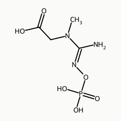 CN(CC(=O)O)/C(N)=N/OP(=O)(O)O